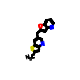 Cc1cc2ncc(Cc3cc4ncccc4o3)cc2s1